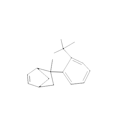 CC(C)(C)c1ccccc1C1(C)CC2C=CC1C2